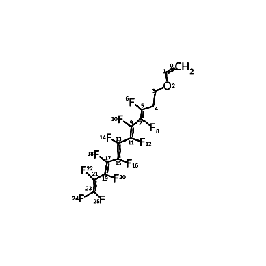 C=COCC/C(F)=C(F)/C(F)=C(F)/C(F)=C(F)/C(F)=C(\F)C(F)=C(F)F